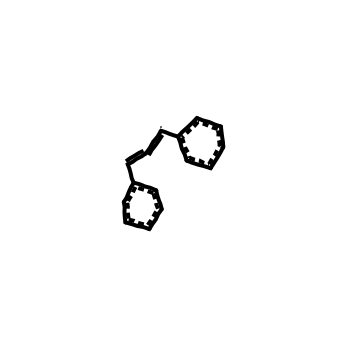 [C](=C=Cc1ccccc1)c1ccccc1